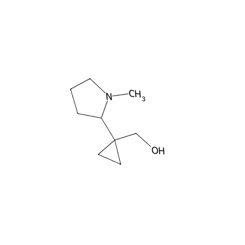 CN1CCCC1C1(CO)CC1